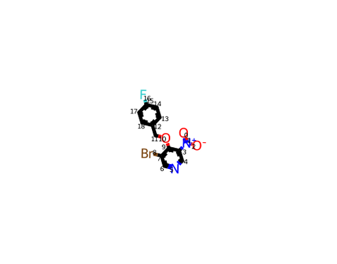 O=[N+]([O-])c1cncc(Br)c1OCc1ccc(F)cc1